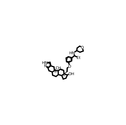 CCC(NC1CCOCC1)c1cccc(OCC[C@]23CCC4C(CCC5Cc6n[nH]cc6C[C@@]54C)C2CCC3O)c1